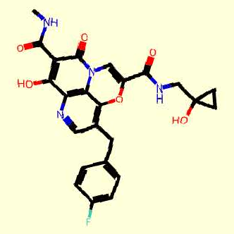 CNC(=O)c1c(O)c2ncc(Cc3ccc(F)cc3)c3c2n(c1=O)C=C(C(=O)NCC1(O)CC1)O3